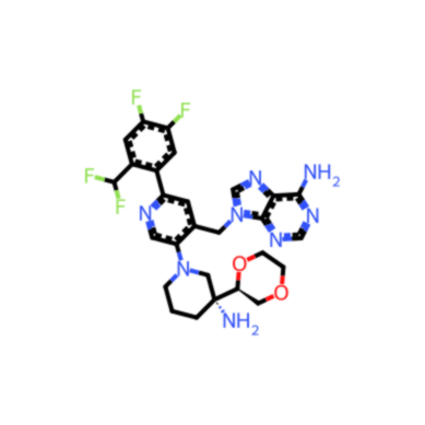 Nc1ncnc2c1ncn2Cc1cc(-c2cc(F)c(F)cc2C(F)F)ncc1N1CCC[C@](N)([C@@H]2COCCO2)C1